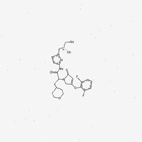 O=C(Nc1ccn(C[C@@H](O)CO)n1)C(CC1CCOCC1)N1CC(Oc2c(F)cccc2F)=CC1=O